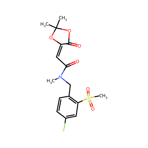 CN(Cc1ccc(F)cc1S(C)(=O)=O)C(=O)C=C1OC(C)(C)OC1=O